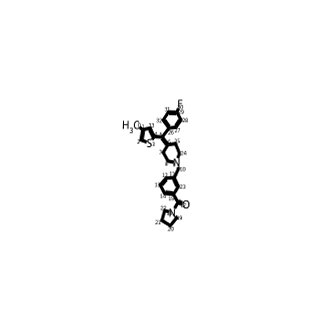 Cc1csc(C(=C2CCN(Cc3cccc(C(=O)N4CCCC4)c3)CC2)c2ccc(F)cc2)c1